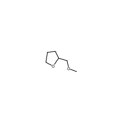 COCC1[CH]CCO1